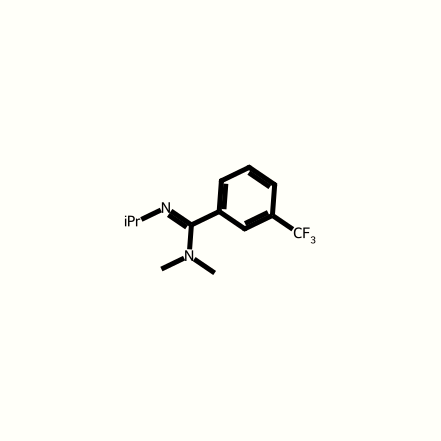 CC(C)/N=C(/c1cccc(C(F)(F)F)c1)N(C)C